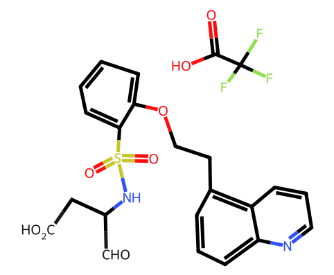 O=C(O)C(F)(F)F.O=CC(CC(=O)O)NS(=O)(=O)c1ccccc1OCCc1cccc2ncccc12